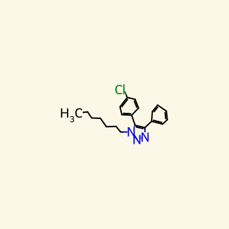 CCCCCCCn1nnc(-c2ccccc2)c1-c1ccc(Cl)cc1